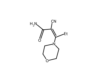 CCC(=C(C#N)C(N)=O)N1CCOCC1